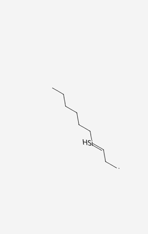 [CH2]CC=[SiH]CCCCCC